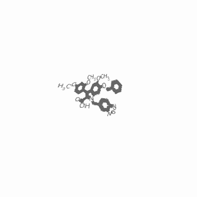 COc1ccc(-c2c(C(=O)O)n(Cc3ccc4nsnc4c3)c3cc(OCc4ccccc4)c(OC)cc23)c(OC)c1